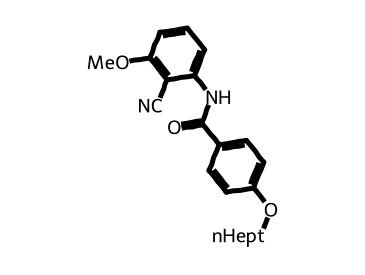 CCCCCCCOc1ccc(C(=O)Nc2cccc(OC)c2C#N)cc1